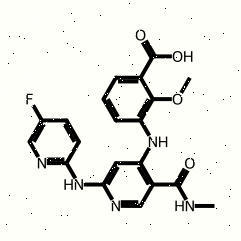 CNC(=O)c1cnc(Nc2ccc(F)cn2)cc1Nc1cccc(C(=O)O)c1OC